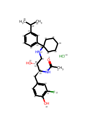 CC(=O)N[C@@H](Cc1ccc(O)c(F)c1)[C@H](O)CNC1(c2cccc(C(C)C)c2)CCCCC1.Cl